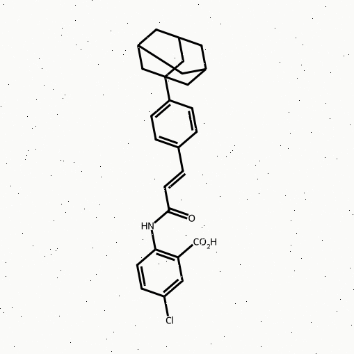 O=C(C=Cc1ccc(C23CC4CC(CC(C4)C2)C3)cc1)Nc1ccc(Cl)cc1C(=O)O